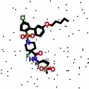 CCCCCOc1cccc(-c2cc(Cl)ccc2S(=O)(=O)N2CCC(F)(C(=O)N[C@@H](C)/C=C\S(C)(=O)=O)CC2)c1